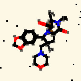 CN1C(=O)[C@@]23C[C@@](C#N)(CN4CCOCC4)C(c4ccc5c(c4)OCO5)N2C(=O)C1(C)SS3